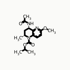 COc1ccc2c(n1)[C@@H](NC(C)=O)C[C@@H](C)N2C(=O)OC(C)C